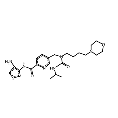 CC(C)NC(=O)N(CCCCN1CCOCC1)Cc1ccc(C(=O)Nc2cscc2N)nc1